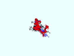 CC[C@H](C)[C@@H]([C@@H](CC(=O)N1CCC[C@H]1[C@H](OC)[C@@H](C)C(=O)N[C@@H](Cc1ccccc1)c1nccs1)OC)N(C)C(=O)[C@@H](NC(=O)[C@H](C(C)C)N(C)C(=O)OC(C(=O)N1CCN(C)CC1)c1ccc(NC(=O)[C@H](CCCNC(N)=O)NC(=O)[C@@H](NC(=O)CCCCCN2C(=O)CCC2=O)C(C)C)cc1)C(C)C